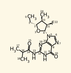 CC[C@H]1O[C@@H](n2cnc3c(=O)[nH]c(NC(=O)C(C)C)nc32)[C@H](F)[C@@H]1C